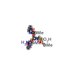 COCCOCCOCCN(CC(C)(C)SCC(=O)O)c1cc(COc2cc(N)c(C(=O)N3c4ccccc4CC3C)cc2OC)cc(COc2cc3c(cc2OC)C(=O)N2c4ccccc4C[C@H]2C=N3)c1